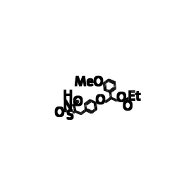 CCC(=O)OCC(COc1ccc(CC2SC(=O)NC2=O)cc1)c1cccc(OC)c1